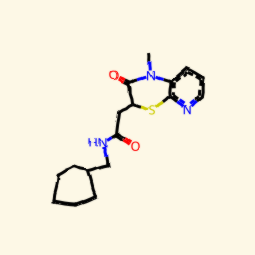 CN1C(=O)C(CC(=O)NCC2CCCCC2)Sc2ncccc21